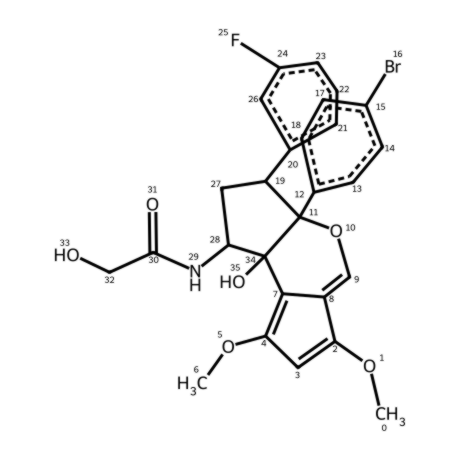 COC1=CC(OC)=C2C1=COC1(c3ccc(Br)cc3)C(c3cccc(F)c3)CC(NC(=O)CO)C21O